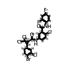 O=C(Nc1ccc(F)cc1F)c1cc(NC(=O)C2C(c3ccc(Br)c(Cl)c3)C2(Cl)Cl)ccc1Cl